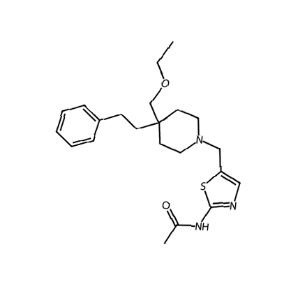 CCOCC1(CCc2ccccc2)CCN(Cc2cnc(NC(C)=O)s2)CC1